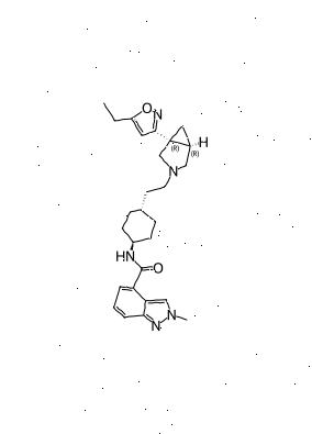 CCc1cc([C@]23C[C@H]2CN(CC[C@H]2CC[C@H](NC(=O)c4cccc5nn(C)cc45)CC2)C3)no1